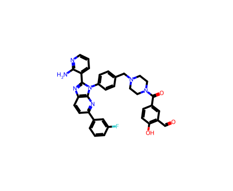 Nc1ncccc1-c1nc2ccc(-c3cccc(F)c3)nc2n1-c1ccc(CN2CCN(C(=O)c3ccc(O)c(C=O)c3)CC2)cc1